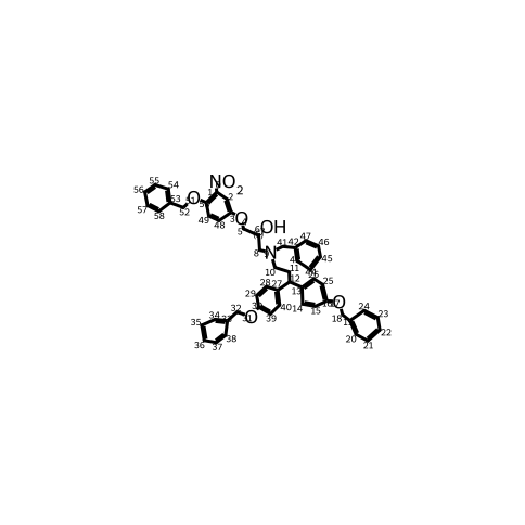 O=[N+]([O-])c1cc(OC[C@@H](O)CN(CCC(c2ccc(OCc3ccccc3)cc2)c2ccc(OCc3ccccc3)cc2)Cc2ccccc2)ccc1OCc1ccccc1